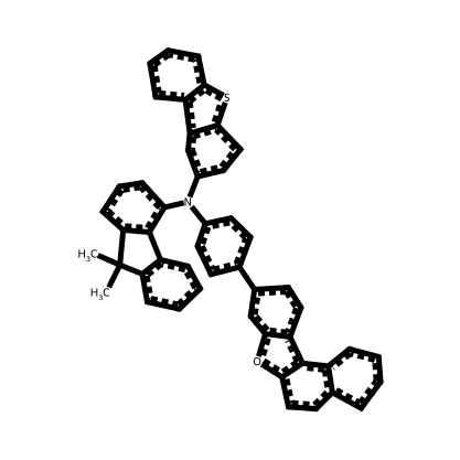 CC1(C)c2ccccc2-c2c(N(c3ccc(-c4ccc5c(c4)oc4ccc6ccccc6c45)cc3)c3ccc4sc5ccccc5c4c3)cccc21